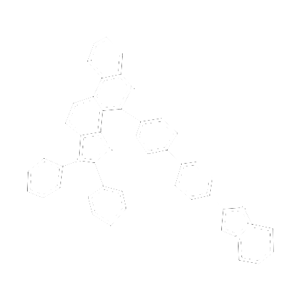 c1ccc(-c2nc3c4c(-c5ccc(-c6ccc(-c7cn8ccccc8n7)cc6)cc5)nc5ccccc5c4ccc3n2-c2ccccc2)cc1